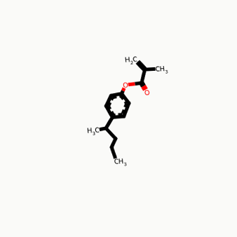 C=C(C)C(=O)Oc1ccc(C(C)CCC)cc1